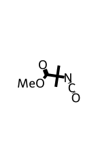 COC(=O)C(C)(C)N=C=O